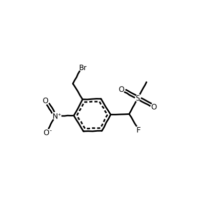 CS(=O)(=O)C(F)c1ccc([N+](=O)[O-])c(CBr)c1